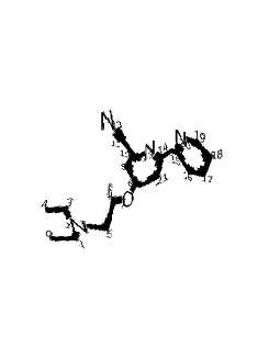 CCN(CC)CCOc1cc(C#N)nc(-c2ccccn2)c1